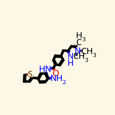 C[C@H](CC(=N)Cc1ccc(C(=O)Nc2cc(-c3cccs3)ccc2N)cc1)N(C)C